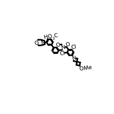 COC1CC2(C1)CN(c1cc(Cl)c(C(=O)N3COc4c(cccc4-c4ccc(C(=O)O)c(N5C6CCC5COC6)c4)C3)c(Cl)c1)C2